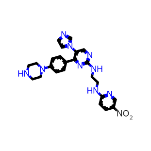 O=[N+]([O-])c1ccc(NCCNc2ncc(-n3ccnc3)c(-c3ccc(N4CCNCC4)cc3)n2)nc1